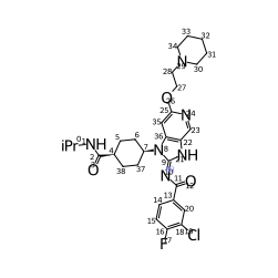 CC(C)NC(=O)[C@H]1CC[C@@H](n2/c(=N/C(=O)c3ccc(F)c(Cl)c3)[nH]c3cnc(OCCN4CCCCC4)cc32)CC1